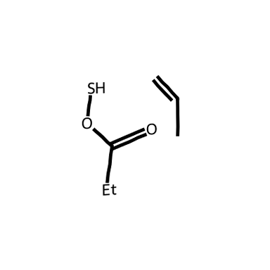 C=CC.CCC(=O)OS